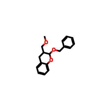 COCC1Cc2ccccc2OC1OCc1ccccc1